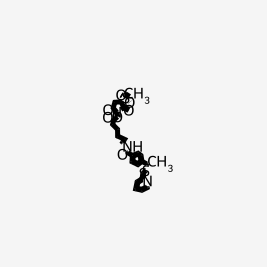 CC(SSc1ccccn1)c1ccc(C(=O)NCCCCCC(=O)ON2C(=O)CC(S(C)(=O)=O)C2=O)cc1